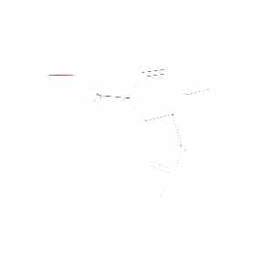 COC(=O)c1ccc(Br)c(NS(C)(=O)=O)c1